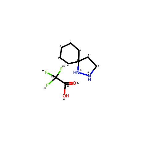 C1CCC2(CC1)CCNN2.O=C(O)C(F)(F)F